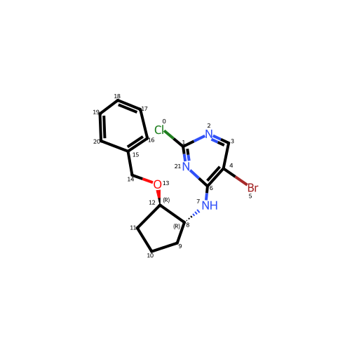 Clc1ncc(Br)c(N[C@@H]2CCC[C@H]2OCc2ccccc2)n1